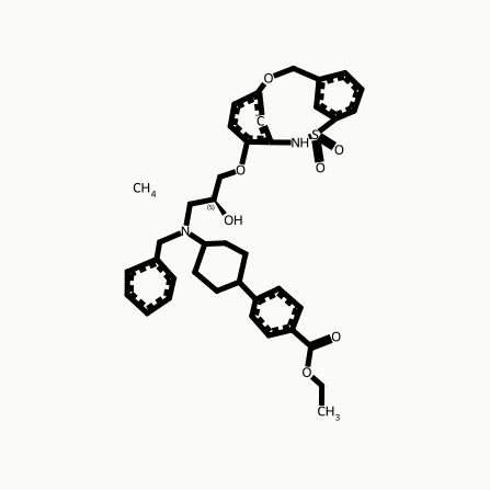 C.CCOC(=O)c1ccc(C2CCC(N(Cc3ccccc3)C[C@H](O)COc3ccc4cc3NS(=O)(=O)c3cccc(c3)CO4)CC2)cc1